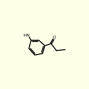 CCC(=O)c1cccc([NH])c1